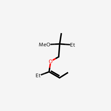 CC=C(CC)OCC(C)(CC)OC